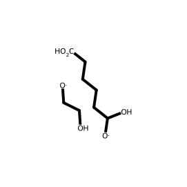 [O]CCO.[O][C](O)CCCCC(=O)O